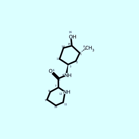 C[C@@H]1C[C@@H](NC(=O)C2CCCCN2)CCC1O